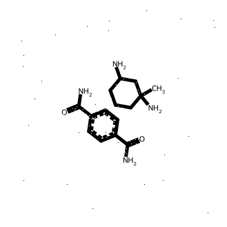 CC1(N)CCCC(N)C1.NC(=O)c1ccc(C(N)=O)cc1